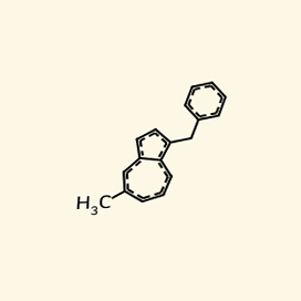 Cc1cccc2c(Cc3ccccc3)ccc-2c1